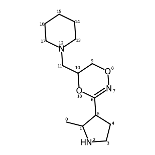 CC1NCCC1C1=NOCC(CN2CCCCC2)O1